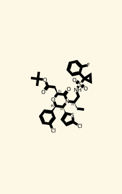 CC[C@@H](CNS(=O)(=O)C1(c2ccccc2F)CC1)N1C(=O)[C@H](CC(=O)OC(C)(C)C)O[C@H](c2cccc(Cl)c2)[C@H]1c1ccc(Cl)s1